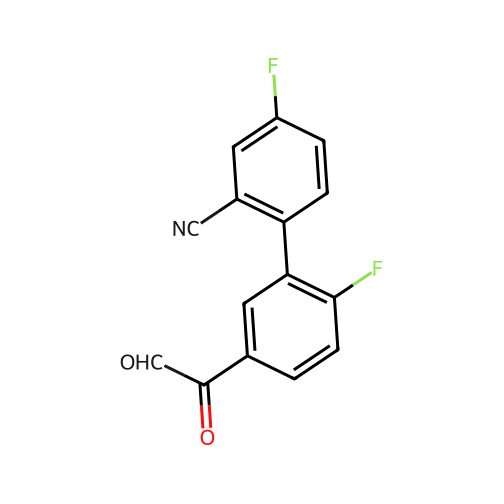 N#Cc1cc(F)ccc1-c1cc(C(=O)C=O)ccc1F